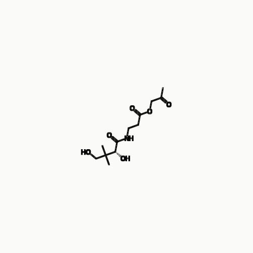 CC(=O)COC(=O)CCNC(=O)[C@H](O)C(C)(C)CO